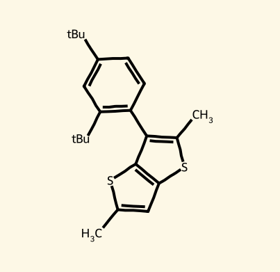 Cc1cc2sc(C)c(-c3ccc(C(C)(C)C)cc3C(C)(C)C)c2s1